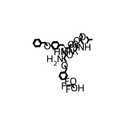 COC(=O)[C@H](CC(C)C)NC(=O)[C@@H](C)NC(=O)[C@H](Cc1ccc(OCc2ccccc2)cc1)NC(=O)[C@@H](N)COCc1ccccc1.O=C(O)C(F)(F)F